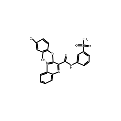 Cc1cc(Cl)ccc1Oc1nc2ccccc2nc1C(=O)Nc1cccc(S(C)(=O)=O)c1